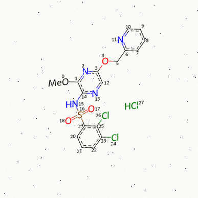 COc1nc(OCc2ccccn2)cnc1NS(=O)(=O)c1cccc(Cl)c1Cl.Cl